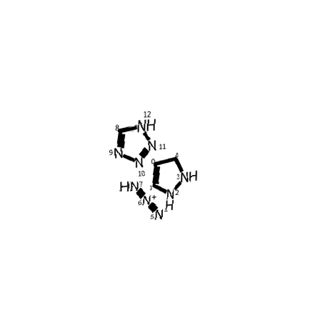 C1=CNNC1.[N-]=[N+]=N.c1nnn[nH]1